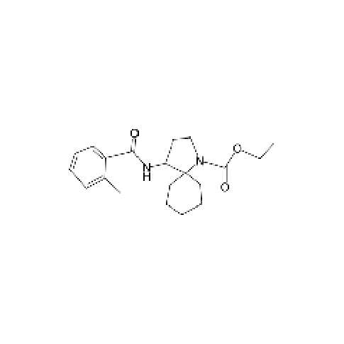 CCOC(=O)N1CCC(NC(=O)c2ccccc2C)C12CCCCC2